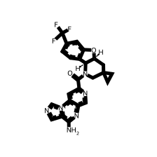 Nc1nc2cnc(C(=O)N3CC4(CC4)C[C@@H]4Oc5cc(C(F)(F)F)ccc5[C@@H]43)cc2n2cncc12